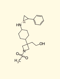 CS(=O)(=O)N1CC(CCO)(C2CCC(N[C@@H]3CC3c3ccccc3)CC2)C1